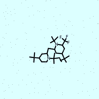 CCC(C)(C)N1CCC(C(C)(C)C)CC1CC1CC(C(C)(C)C)CC(C(F)(F)F)N1C(C)(C)C